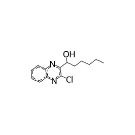 CCCCCC(O)c1nc2ccccc2nc1Cl